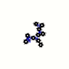 c1ccc(-c2ccc(N(c3ccc(-n4c5ccccc5n5c6ccccc6nc45)cc3)c3ccc4c(c3)c3ccccc3n4-c3ccc4c(c3)c3ccccc3n4-c3ccccc3)cc2)cc1